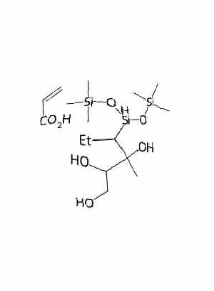 C=CC(=O)O.CCC([SiH](O[Si](C)(C)C)O[Si](C)(C)C)C(C)(O)C(O)CO